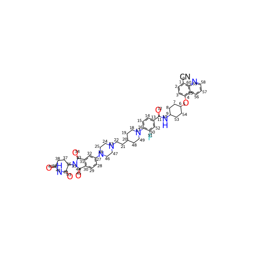 N#Cc1ccc(OC2CCC(NC(=O)c3ccc(N4CCC(CCN5CCN(c6ccc7c(c6)C(=O)N(C6CCC(=O)NC6=O)C7=O)CC5)CC4)c(F)c3)CC2)c2cccnc12